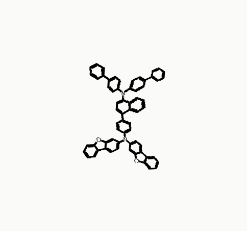 c1ccc(-c2ccc(N(c3ccc(-c4ccccc4)cc3)c3ccc(-c4ccc(N(c5ccc6c(c5)oc5ccccc56)c5ccc6c(c5)oc5ccccc56)cc4)c4ccccc34)cc2)cc1